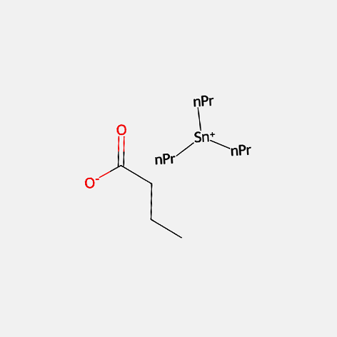 CCCC(=O)[O-].CC[CH2][Sn+]([CH2]CC)[CH2]CC